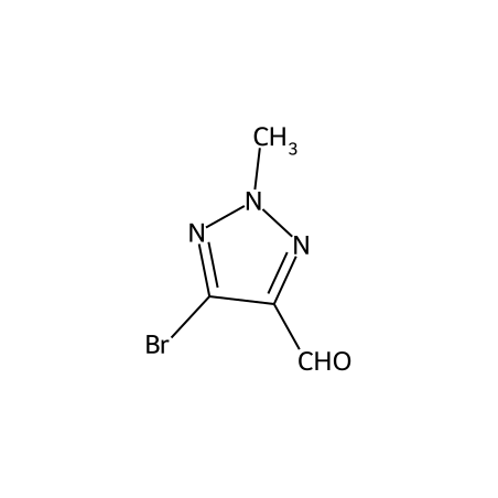 Cn1nc(Br)c(C=O)n1